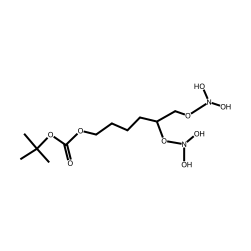 CC(C)(C)OC(=O)OCCCCC(CON(O)O)ON(O)O